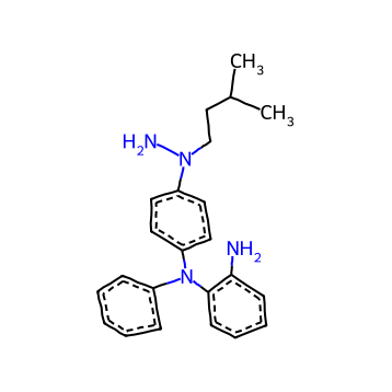 CC(C)CCN(N)c1ccc(N(c2ccccc2)c2ccccc2N)cc1